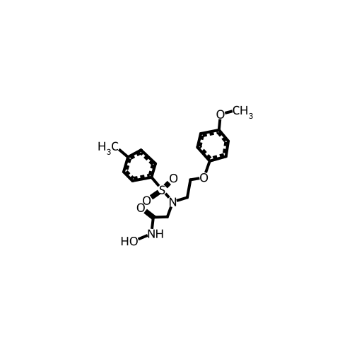 COc1ccc(OCCN(CC(=O)NO)S(=O)(=O)c2ccc(C)cc2)cc1